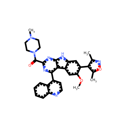 COc1cc2c(cc1-c1c(C)noc1C)[nH]c1nc(C(=O)N3CCN(C)CC3)nc(-c3ccnc4ccccc34)c12